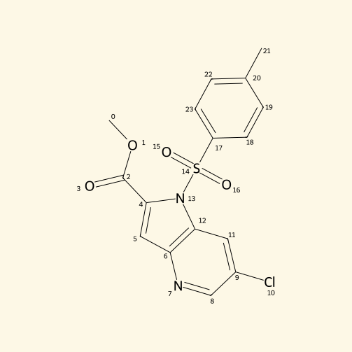 COC(=O)c1cc2ncc(Cl)cc2n1S(=O)(=O)c1ccc(C)cc1